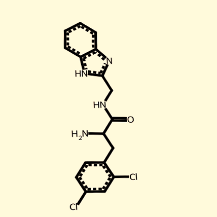 NC(Cc1ccc(Cl)cc1Cl)C(=O)NCc1nc2ccccc2[nH]1